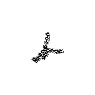 c1ccc(-c2ccc(-c3ccc(-c4ccc5c(c4)c4cc(-c6ccc(-c7ccc(-c8ccccc8)cc7)cc6)ccc4n5-c4ccc5c(c4)[Si](c4ccccc4)(c4ccccc4)c4cc(-c6ccc7oc8ccccc8c7c6)ccc4-5)cc3)cc2)cc1